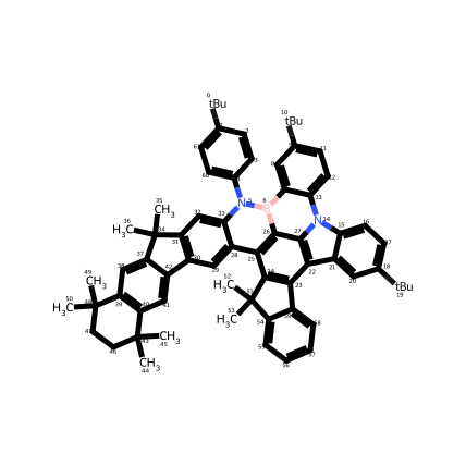 CC(C)(C)c1ccc(N2B3c4cc(C(C)(C)C)ccc4-n4c5ccc(C(C)(C)C)cc5c5c6c(c(c3c54)-c3cc4c(cc32)C(C)(C)c2cc3c(cc2-4)C(C)(C)CCC3(C)C)C(C)(C)c2ccccc2-6)cc1